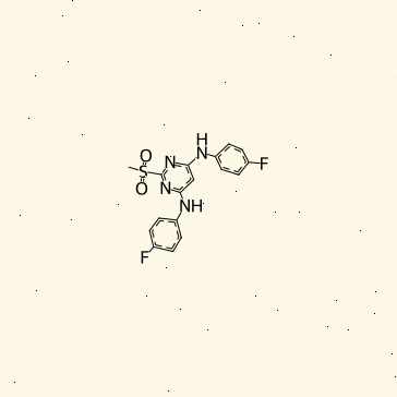 CS(=O)(=O)c1nc(Nc2ccc(F)cc2)cc(Nc2ccc(F)cc2)n1